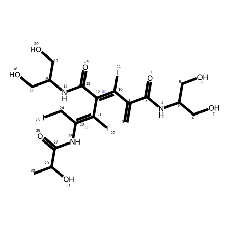 C=C(C(=O)NC(CO)CO)/C(I)=C(C(=O)NC(CO)CO)\C(I)=C(/CI)NC(=O)C(C)O